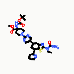 CCN(C(N)=O)c1nc2cc(-c3cnc(N4CCC(NC(=O)OC(C)(C)C)(C(=O)OC)CC4)nc3)cc(-c3ccccn3)c2s1